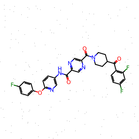 O=C(Nc1ccc(Oc2ccc(F)cc2)nc1)c1cnc(C(=O)N2CCC(C(=O)c3ccc(F)cc3F)CC2)cn1